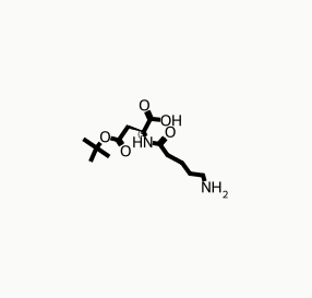 CC(C)(C)OC(=O)C[C@H](NC(=O)CCCCN)C(=O)O